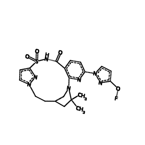 CC1(C)CC2CCn3ccc(n3)S(=O)(=O)NC(=O)c3ccc(-n4ccc(OF)n4)nc3N1C2